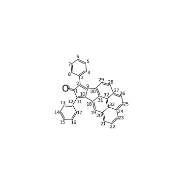 O=C1C(c2ccccc2)=C2C(=C1c1ccccc1)c1cc3cccc4ccc5ccc2c1c5c43